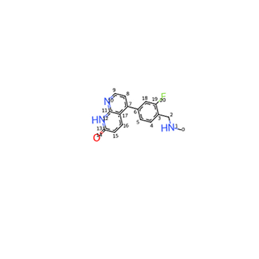 CNCc1ccc(-c2ccnc3[nH]c(=O)ccc23)cc1F